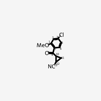 COc1cc(Cl)ccc1C(=O)C1CC1C#N